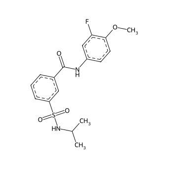 COc1ccc(NC(=O)c2cccc(S(=O)(=O)NC(C)C)c2)cc1F